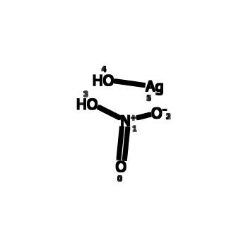 O=[N+]([O-])O.[OH][Ag]